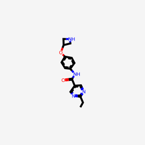 CCc1ncc(C(=O)Nc2ccc(OC3CNC3)cc2)cn1